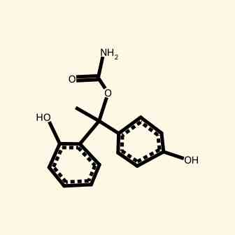 CC(OC(N)=O)(c1ccc(O)cc1)c1ccccc1O